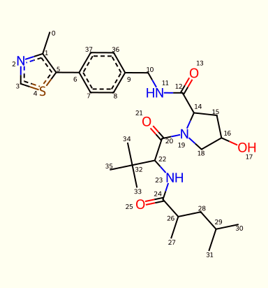 Cc1ncsc1-c1ccc(CNC(=O)C2CC(O)CN2C(=O)C(NC(=O)C(C)CC(C)C)C(C)(C)C)cc1